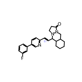 O=C1CCN2C(/C=C/c3ccc(-c4cccc(F)c4)cn3)C3CCCCC3CN12